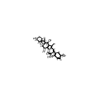 Cc1c(C=C2C(=O)Nc3ccc(Br)cc32)[nH]c2c1C(=O)C(C(C)C1(O)CCNCC1)CN2